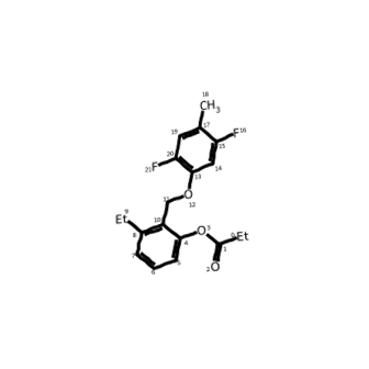 CCC(=O)Oc1cccc(CC)c1COc1cc(F)c(C)cc1F